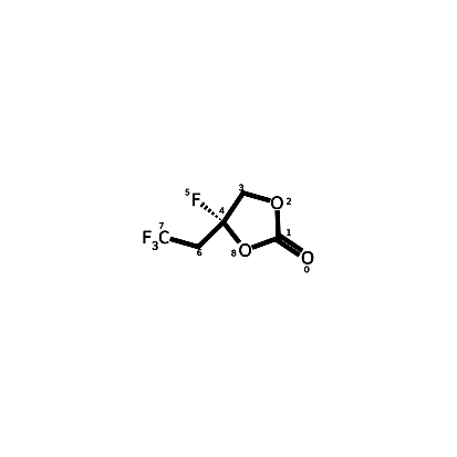 O=C1OC[C@](F)(CC(F)(F)F)O1